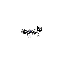 Cc1cc(NC(=O)CN(C)OC/C=C\C(=N)C2=CCC(F)(F)CC2)cc(C)n1